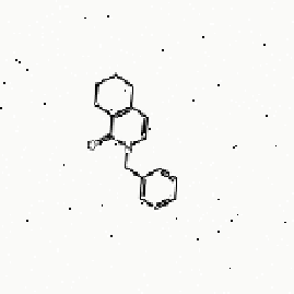 O=c1c2c(ccn1Cc1ccccc1)CCCC2